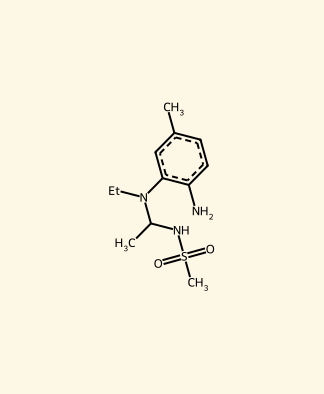 CCN(c1cc(C)ccc1N)C(C)NS(C)(=O)=O